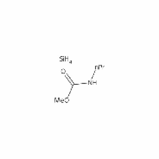 CCCNC(=O)OC.[SiH4]